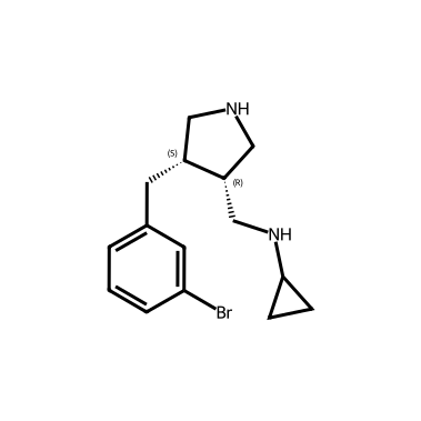 Brc1cccc(C[C@@H]2CNC[C@@H]2CNC2CC2)c1